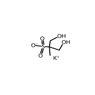 CC(CO)(CO)S(=O)(=O)[O-].[K+]